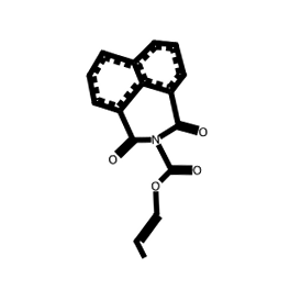 CC=COC(=O)N1C(=O)c2cccc3cccc(c23)C1=O